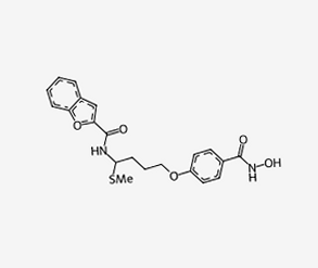 CSC(CCCOc1ccc(C(=O)NO)cc1)NC(=O)c1cc2ccccc2o1